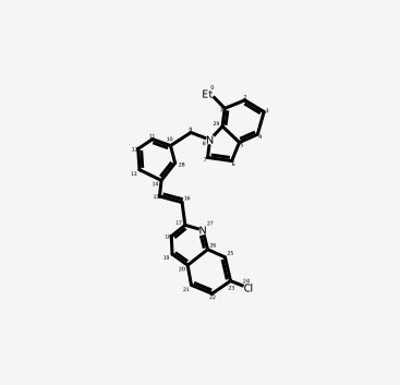 [CH2]Cc1cccc2ccn(Cc3cccc(/C=C/c4ccc5ccc(Cl)cc5n4)c3)c12